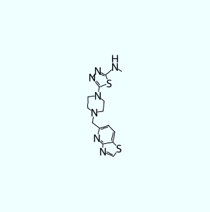 CNc1nnc(N2CCN(Cc3ccc4scnc4n3)CC2)s1